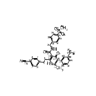 Cc1[nH]c(CCc2ccc(C#N)cc2)c(C(=O)NCc2ccc(S(C)(=O)=O)cc2)c(=O)c1-c1cccc(C(F)F)c1